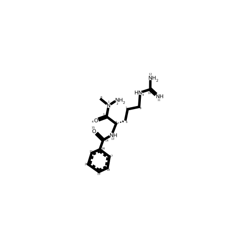 CN(N)C(=O)[C@H](CCCNC(=N)N)NC(=O)c1ccccc1